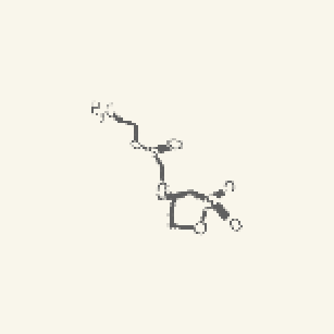 CCOS(=O)OC1COS(=O)(=O)C1